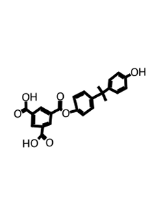 CC(C)(c1ccc(O)cc1)c1ccc(OC(=O)c2cc(C(=O)O)cc(C(=O)O)c2)cc1